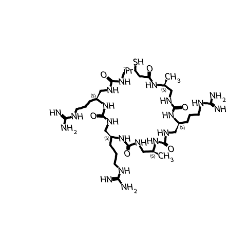 CC(C)NC(=O)NC[C@H](CCCNC(=N)N)NC(=O)NC[C@H](CCCNC(=N)N)NC(=O)NC[C@H](C)NC(=O)NC[C@H](CCCNC(=N)N)NC(=O)NC[C@H](C)NC(=O)CCS